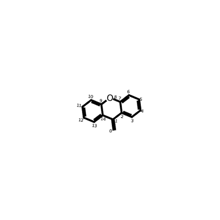 C=C1c2ccccc2Oc2ccccc21